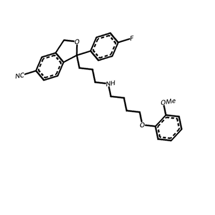 COc1ccccc1OCCCCNCCCC1(c2ccc(F)cc2)OCc2cc(C#N)ccc21